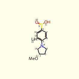 CO[C@H]1CCN(c2ccc(S(=O)O)cc2)C1.[LiH]